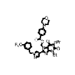 CCCn1c(=O)c2c(nc(-c3cnn(Cc4cccc(C(F)(F)F)c4)c3)n2COC(=O)c2ccc(N3CCOCC3)cc2)n(CC)c1=O